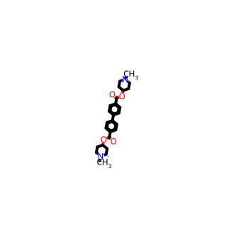 CN1CCC(OC(=O)c2ccc(-c3ccc(C(=O)OC4CC[N+](C)CC4)cc3)cc2)CC1